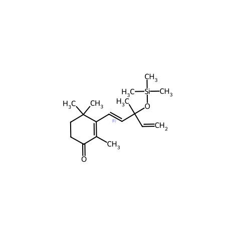 C=CC(C)(/C=C/C1=C(C)C(=O)CCC1(C)C)O[Si](C)(C)C